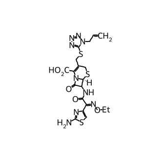 C=CCn1nnnc1SCC1=C(C(=O)O)N2C(=O)C(NC(=O)C(=NOCC)c3csc(N)n3)[C@@H]2SC1